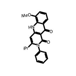 COc1cccc2c(=O)c3c(=O)n(-c4ccccc4)c(C(C)C)cc3[nH]c12